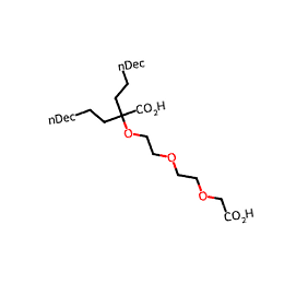 CCCCCCCCCCCCC(CCCCCCCCCCCC)(OCCOCCOCC(=O)O)C(=O)O